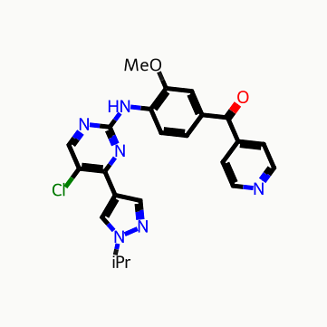 COc1cc(C(=O)c2ccncc2)ccc1Nc1ncc(Cl)c(-c2cnn(C(C)C)c2)n1